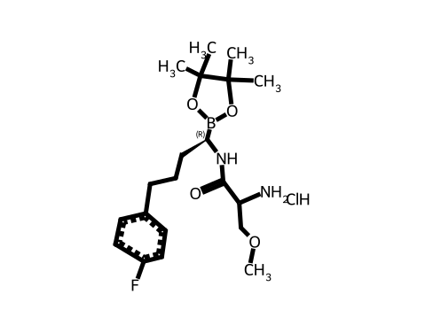 COCC(N)C(=O)N[C@@H](CCCc1ccc(F)cc1)B1OC(C)(C)C(C)(C)O1.Cl